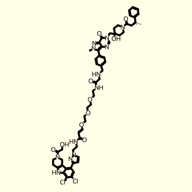 C[C@H](CC(=O)N1CCC(O)(Cn2cnc3c(-c4ccc(CNCC(=O)NCCOCCOCCOC=CC(=O)NCCn5ccc(-c6cc(Cl)c(Cl)c7[nH]c8c(c67)CN(C(=O)CO)CC8)n5)cc4)n(C)nc3c2=O)CC1)c1ccccc1